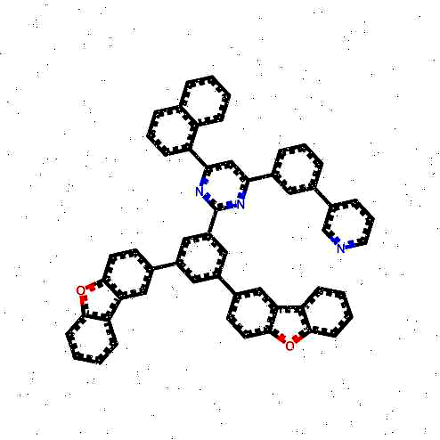 c1cncc(-c2cccc(-c3cc(-c4cccc5ccccc45)nc(-c4cc(-c5ccc6oc7ccccc7c6c5)cc(-c5ccc6oc7ccccc7c6c5)c4)n3)c2)c1